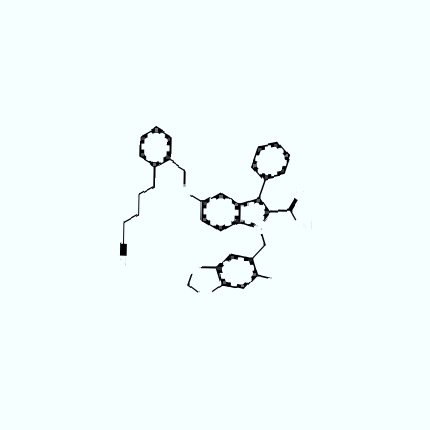 N#CCCCCc1ccccc1COc1ccc2c(c1)c(-c1ccccc1)c(C(=O)O)n2Cc1cc2c(cc1Cl)OCO2